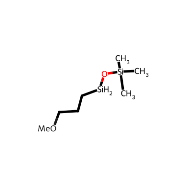 COCCC[SiH2]O[Si](C)(C)C